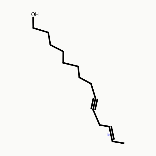 C/C=C/CC#CCCCCCCCCO